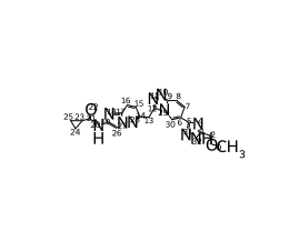 COCc1nc(-c2ccc3nnc(Cc4ccc5nc(NC(=O)C6CC6)cn5n4)n3c2)n[nH]1